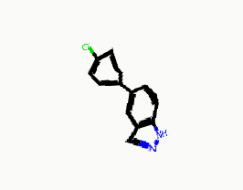 Clc1ccc(-c2ccc3[nH]ncc3c2)cc1